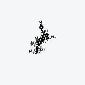 C=C(C)[C@@H]1CC[C@]2(CC(=O)NCc3ccc(C#N)cc3)CC[C@]3(C)[C@H](CC[C@@H]4[C@@]5(C)CC[C@H](OC(=O)CC(C)(C)C(=O)O)C(C)(C)[C@@H]5CC[C@]43C)[C@@H]12